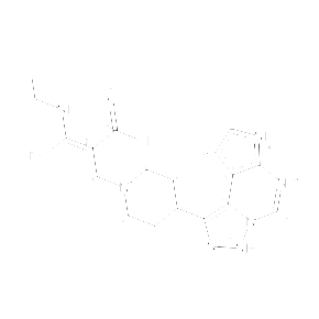 C/C(NCC(F)(F)F)=C(\CN1CCC(C2=C3c4cc[nH]c4N=CN3NN2)CC1)C(=N)Cl